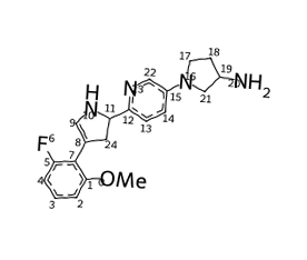 COc1cccc(F)c1C1=CNC(c2ccc(N3CCC(N)C3)cn2)C1